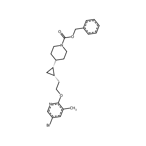 Cc1cc(Br)cnc1OCC[C@@H]1C[C@@H]1C1CCN(C(=O)OCc2ccccc2)CC1